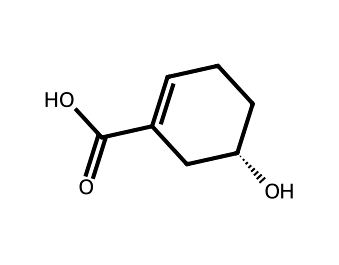 O=C(O)C1=CCC[C@H](O)C1